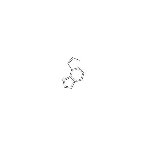 C1=Cc2c(ccc3ccoc23)C1